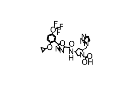 O=C(N[C@@H]1C[C@@H](Cn2ccnn2)N(C(=O)O)C1)c1nnc(-c2cc(OC(F)(F)F)ccc2OC2CC2)o1